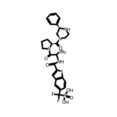 CC(C)(C)C(NC(=O)c1cc2cc(C(F)(F)P(=O)(O)O)ccc2s1)C(=O)N1CCC[C@H]1C(=O)N1CCN[C@H](c2ccccc2)C1